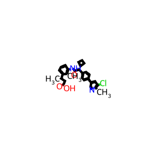 Cc1ncc(-c2ccc([C@H](C(=O)Nc3cccc([C@H](C)CC(=O)O)c3C)C3CCC3)cc2)cc1Cl